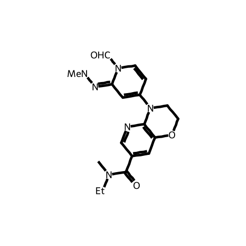 CCN(C)C(=O)c1cnc2c(c1)OCCN2c1ccn(C=O)/c(=N\NC)c1